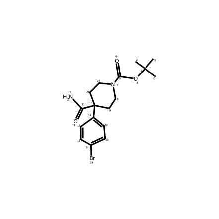 CC(C)(C)OC(=O)N1CCC(C(N)=O)(c2ccc(Br)cc2)CC1